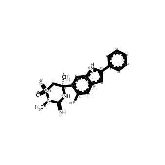 CN1C(=N)N[C@](C)(c2cc3[nH]c(-c4ccccc4)cc3cc2F)CS1(=O)=O